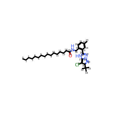 CCCCCCCCCCCCCCCC(=O)NCc1ccc(C)cc1-c1nn2nc(C(C)(C)C)c(Cl)c2[nH]1